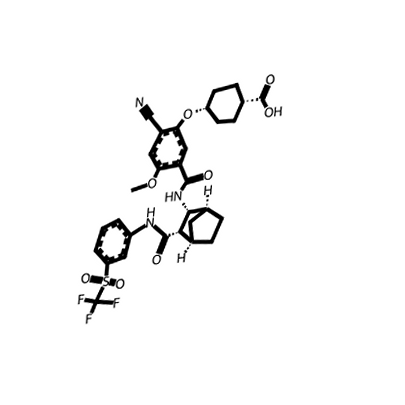 COc1cc(C#N)c(O[C@H]2CC[C@@H](C(=O)O)CC2)cc1C(=O)N[C@@H]1[C@H]2CC[C@H](C2)[C@@H]1C(=O)Nc1cccc(S(=O)(=O)C(F)(F)F)c1